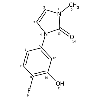 Cn1ccn(-c2ccc(F)c(O)c2)c1=O